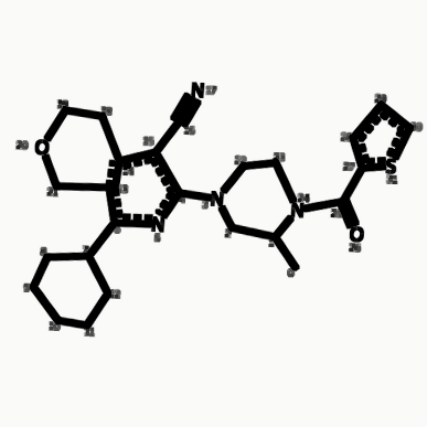 CC1CN(c2nc(C3CCCCC3)c3c(c2C#N)CCOC3)CCN1C(=O)c1cccs1